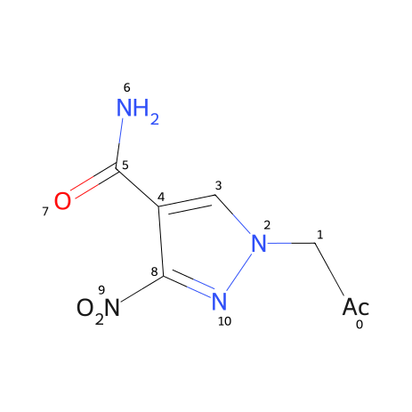 CC(=O)Cn1cc(C(N)=O)c([N+](=O)[O-])n1